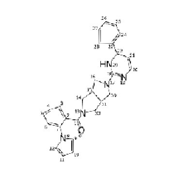 O=C(c1ccccc1-n1cccc1)N1CC2CN(C3=NC=CC(c4ccccc4)N3)CC2C1